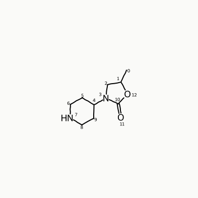 CC1CN(C2CCNCC2)C(=O)O1